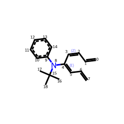 C=C/C=C\C(=C/C=C)N(c1ccccc1)C(C)(C)C